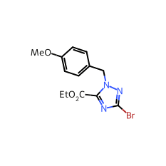 CCOC(=O)c1nc(Br)nn1Cc1ccc(OC)cc1